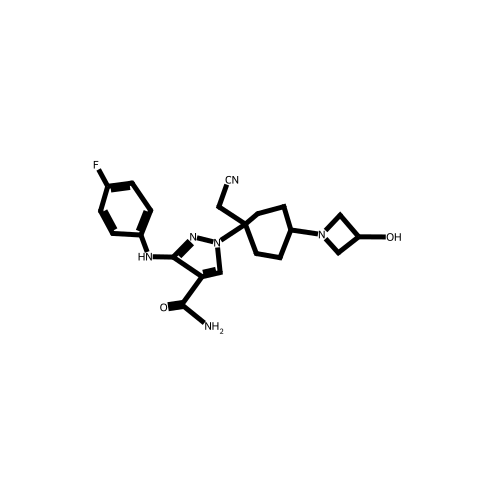 N#CCC1(n2cc(C(N)=O)c(Nc3ccc(F)cc3)n2)CCC(N2CC(O)C2)CC1